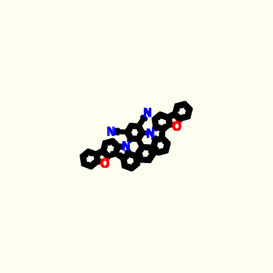 N#Cc1cc(C#N)c(-n2c3ccccc3c3c4oc5ccccc5c4ccc32)c(-c2ccccc2)c1-n1c2ccccc2c2c3oc4ccccc4c3ccc21